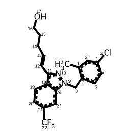 Cc1cc(Cl)ccc1Cn1nc(/C=C/CCCO)c2ccc(C(F)(F)F)cc21